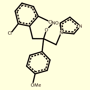 COc1ccc(C(Cc2c(Cl)cccc2Cl)(Cn2ccnc2)O[N+](=O)[O-])cc1